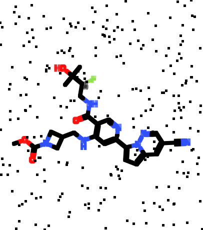 COC(=O)N1CC(CNc2cc(-c3ccc4cc(C#N)cnn34)ncc2C(=O)NC[C@@H](F)C(C)(C)O)C1